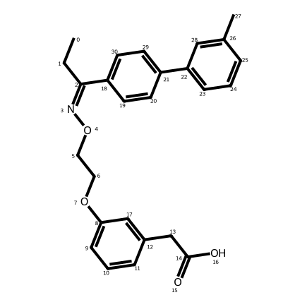 CCC(=NOCCOc1cccc(CC(=O)O)c1)c1ccc(-c2cccc(C)c2)cc1